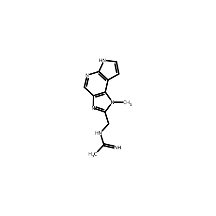 CC(=N)NCc1nc2cnc3[nH]ccc3c2n1C